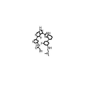 CC(C)CC(=O)Nc1cncc(-c2ncc3[nH]nc(-c4nc5c(-c6cc(F)cc(NCCN(C)C)c6)cccc5[nH]4)c3c2F)c1